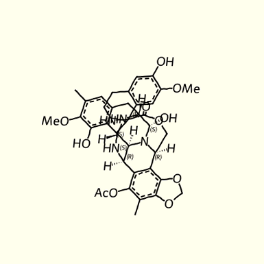 COc1cc2c(cc1O)CCNC21CN[C@@H]2c3c(OC(C)=O)c(C)c4c(c3[C@H](COC1=O)N1[C@@H]2[C@H]2N[C@H](Cc3cc(C)c(OC)c(O)c32)[C@@H]1O)OCO4